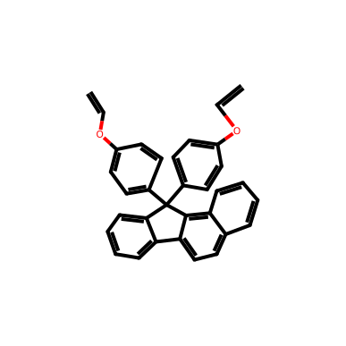 C=COc1ccc(C2(c3ccc(OC=C)cc3)c3ccccc3-c3ccc4ccccc4c32)cc1